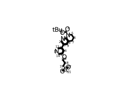 CC(C)(C)OC(=O)N1CCCc2cc(-c3cncc(OCCCS(C)(=O)=O)c3)cnc21